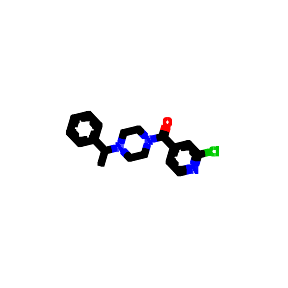 CC(c1ccccc1)N1CCN(C(=O)c2ccnc(Cl)c2)CC1